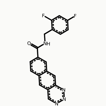 O=C(NCc1ccc(F)cc1F)c1ccc2cc3cnnnc3cc2c1